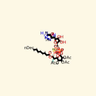 CCCCCCCCCCCCCCCCCC(=O)OC[C@H](F)C1O[C@@H](OP(=O)(O)OP(O)(=S)OC[C@H]2O[C@@H](c3noc4c(N)ncnc34)[C@H](O)[C@H]2O)[C@H](OC(C)=O)[C@@H](OC(C)=O)[C@@H]1OC(C)=O